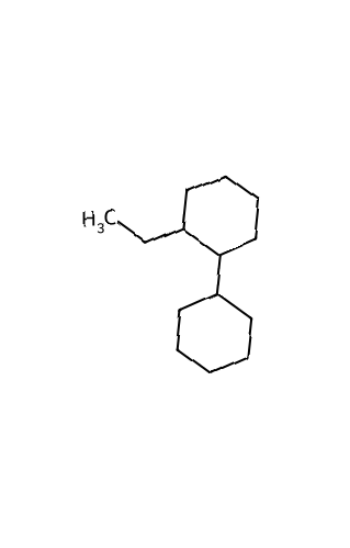 CCC1CCCCC1C1CCCCC1